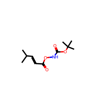 CC(C)C=CC(=O)ONC(=O)OC(C)(C)C